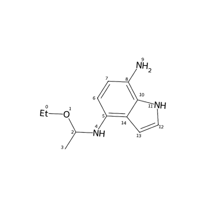 CCOC(C)Nc1ccc(N)c2[nH]ccc12